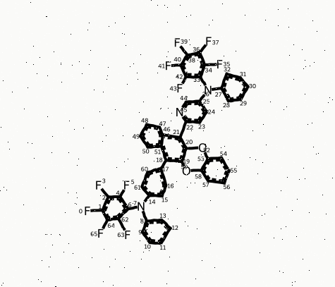 Fc1c(F)c(F)c(N(c2ccccc2)c2ccc(-c3c4c(c(-c5ccc(N(c6ccccc6)c6c(F)c(F)c(F)c(F)c6F)cn5)c5ccccc35)Oc3ccccc3O4)cc2)c(F)c1F